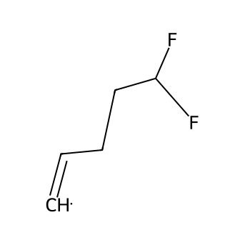 [CH]=CCCC(F)F